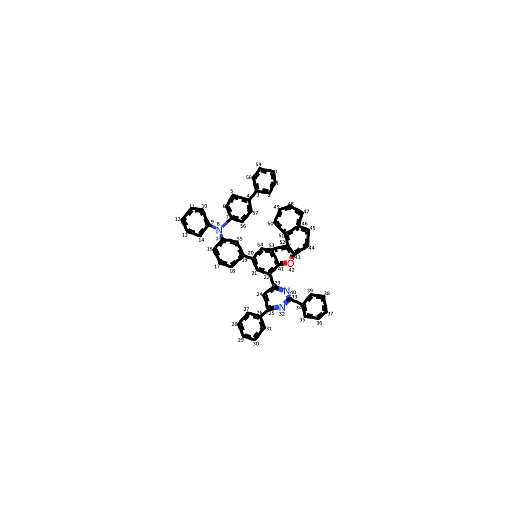 c1ccc(-c2ccc(N(c3ccccc3)c3cccc(-c4cc(-c5cc(-c6ccccc6)nc(-c6ccccc6)n5)c5oc6ccc7ccccc7c6c5c4)c3)cc2)cc1